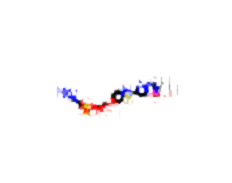 CB(O)N(C)c1ccc(-c2nc3ccc(OCC(O)COS(=O)(=O)CCCN=[N+]=[N-])cc3s2)cn1